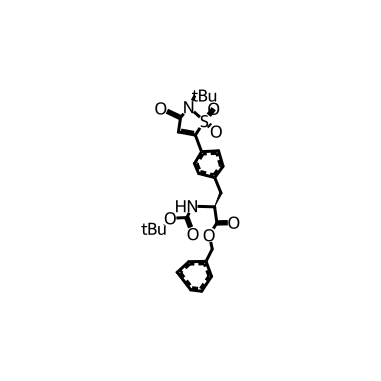 CC(C)(C)OC(=O)N[C@@H](Cc1ccc(C2=CC(=O)N(C(C)(C)C)S2(=O)=O)cc1)C(=O)OCc1ccccc1